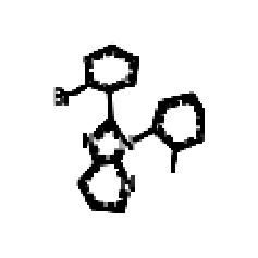 Cc1ccccc1-n1c(-c2ccccc2Br)nc2cccnc21